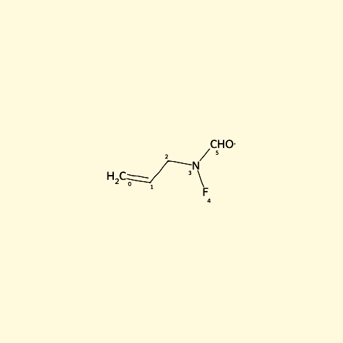 C=CCN(F)[C]=O